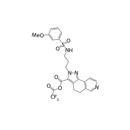 COc1cccc(S(=O)(=O)NCCCn2nc3c(c2C(=O)OC(=O)C(F)(F)F)CCc2cnccc2-3)c1